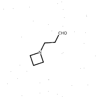 O=CCCN1CCC1